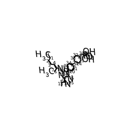 CC/C=C\C=C(/CC)Nc1nc2c(I)ncnc2n1-c1ccc([C@H]2CC[C@H](CP(=O)(O)O)CC2)cc1